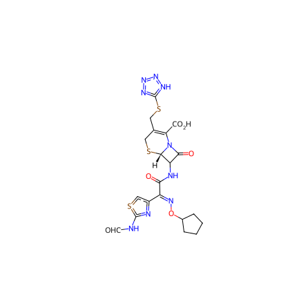 O=CNc1nc(C(=NOC2CCCC2)C(=O)NC2C(=O)N3C(C(=O)O)=C(CSc4nnn[nH]4)CS[C@@H]23)cs1